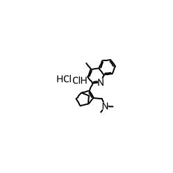 Cc1cc(C2=C(CN(C)C)C3CCC2C3)nc2ccccc12.Cl.Cl